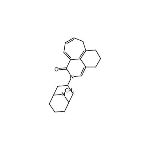 CN1C2CCCC1CC(n1cc3c4c(c1=O)=CC=CCC=4CCC3)C2